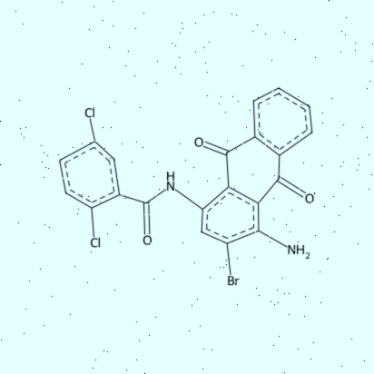 Nc1c(Br)cc(NC(=O)c2cc(Cl)ccc2Cl)c2c1C(=O)c1ccccc1C2=O